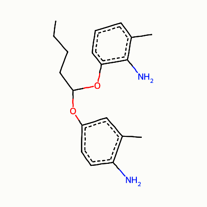 CCCCC(Oc1ccc(N)c(C)c1)Oc1cccc(C)c1N